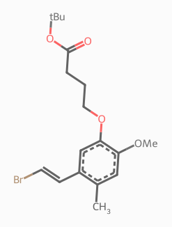 COc1cc(C)c(/C=C/Br)cc1OCCCC(=O)OC(C)(C)C